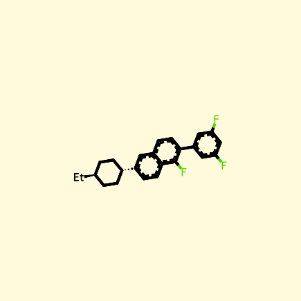 CC[C@H]1CC[C@H](c2ccc3c(F)c(-c4cc(F)cc(F)c4)ccc3c2)CC1